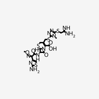 CO/N=C(\C(=O)N[C@@H]1C(=O)N2C(C(=O)O)=C(CSc3nnc(SCC(=N)N)n3C)CS[C@@H]12)c1csc(N)n1